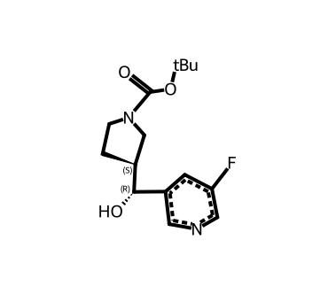 CC(C)(C)OC(=O)N1CC[C@H]([C@@H](O)c2cncc(F)c2)C1